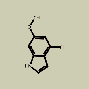 COc1cc(Cl)c2cc[nH]c2c1